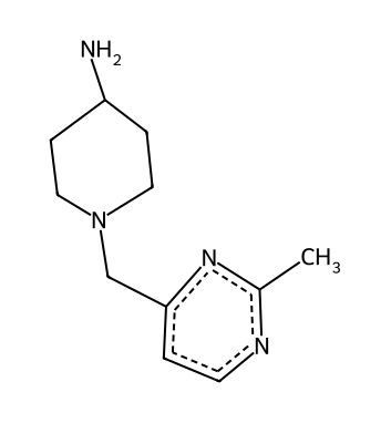 Cc1nccc(CN2CCC(N)CC2)n1